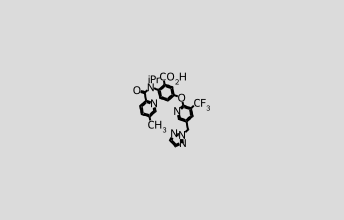 Cc1ccc(C(=O)N(c2ccc(Oc3ncc(Cn4nccn4)cc3C(F)(F)F)cc2C(=O)O)C(C)C)nc1